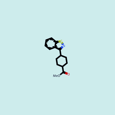 COC(=O)C1CCC(c2nsc3ccccc23)CC1